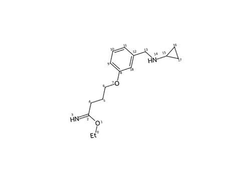 CCOC(=N)CCCOc1cccc(CNC2CC2)c1